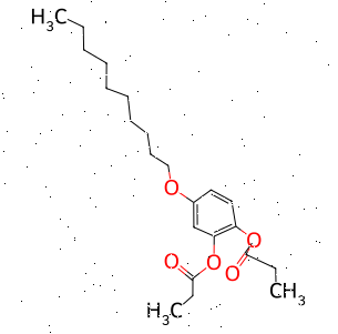 CCCCCCCCCCOc1ccc(OC(=O)CC)c(OC(=O)CC)c1